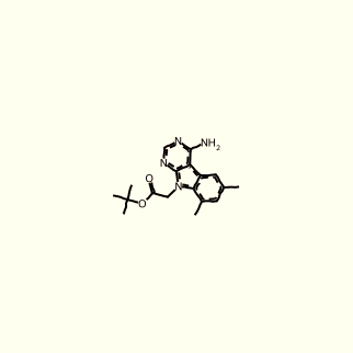 Cc1cc(C)c2c(c1)c1c(N)ncnc1n2CC(=O)OC(C)(C)C